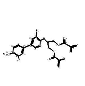 C=C(C)C(=O)OCC(COC(=O)C(=C)C)Cc1ccc(-c2ccc(OC)c(F)c2)cc1F